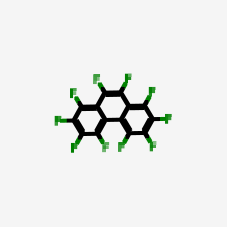 Fc1c(F)c(F)c2c(c1F)c(F)c(F)c1c(F)c(F)c(F)c(F)c12